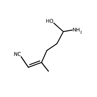 C/C(=C/C#N)CCC(N)O